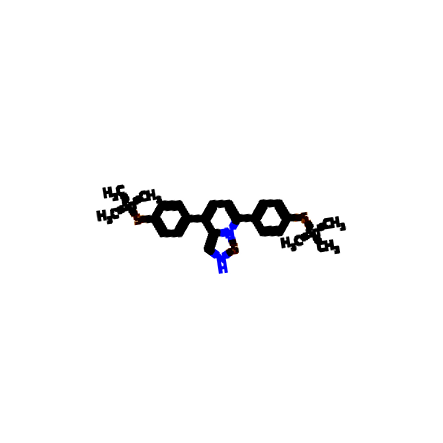 [CH3][Sn]([CH3])([CH3])[S]c1ccc(C2=CC=C(c3ccc([S][Sn]([CH3])([CH3])[CH3])cc3)N3SNC=C23)cc1